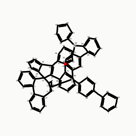 c1ccc(-c2ccc(N(c3ccc4c(c3)C3(c5ccccc5-c5ccccc5-4)c4ccccc4-c4c3c3ccccc3c3ccccc43)c3ccc4c(c3)c3ccccc3n4-c3ccccc3)cc2)cc1